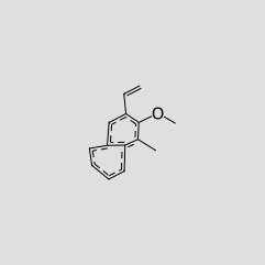 C=Cc1cc2ccccc2c(C)c1OC